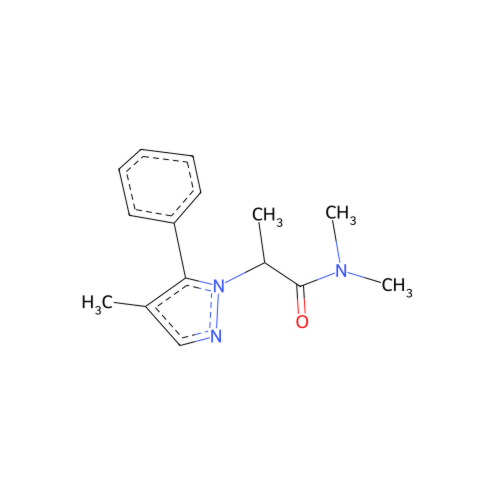 Cc1cnn(C(C)C(=O)N(C)C)c1-c1ccccc1